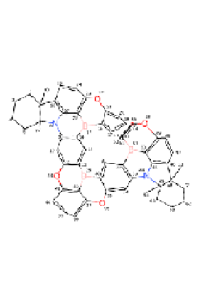 CC12CCCCC1(C)N1c3cc4c(cc3B3c5ccccc5Oc5ccc2c1c53)B1c2cc3c(cc2Oc2cccc(c21)O4)N1c2c(ccc4c2B3c2ccccc2O4)C2(C)CCCCC12C